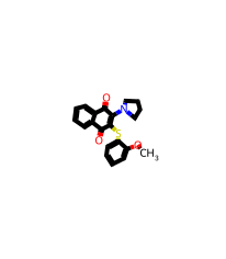 COc1ccccc1SC1=C(N2CCCC2)C(=O)c2ccccc2C1=O